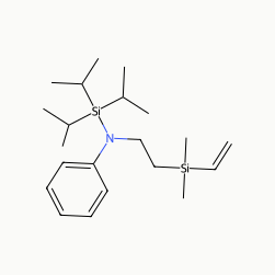 C=C[Si](C)(C)CCN(c1ccccc1)[Si](C(C)C)(C(C)C)C(C)C